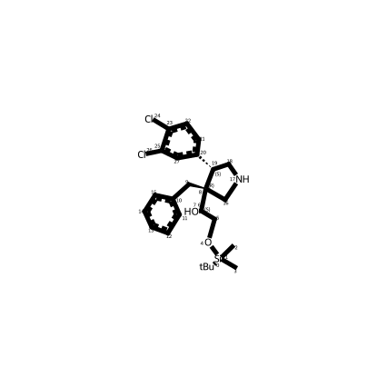 CC(C)(C)[Si](C)(C)OC[C@@H](O)[C@@]1(Cc2ccccc2)CNC[C@H]1c1ccc(Cl)c(Cl)c1